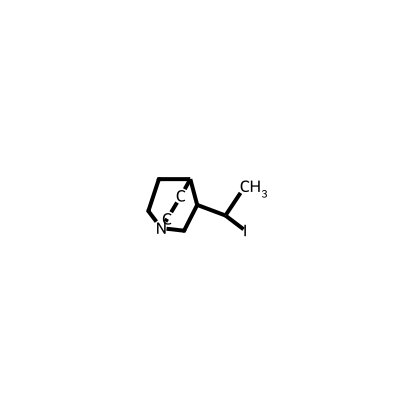 CC(I)C1CN2CCC1CC2